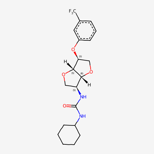 O=C(NC1CCCCC1)N[C@H]1CO[C@H]2[C@@H]1OC[C@@H]2Oc1cccc(C(F)(F)F)c1